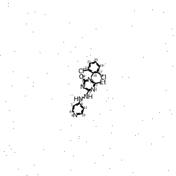 CCc1nc(NNc2ccncc2)nc(=O)n1-c1c(Cl)cccc1Cl